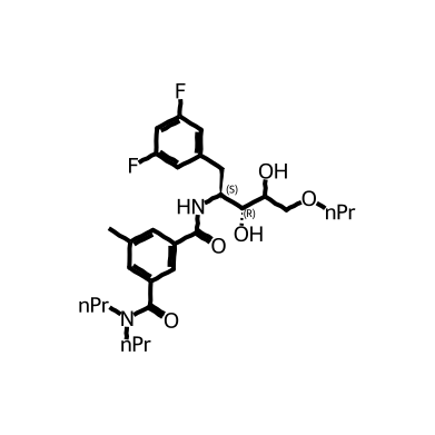 CCCOCC(O)[C@H](O)[C@H](Cc1cc(F)cc(F)c1)NC(=O)c1cc(C)cc(C(=O)N(CCC)CCC)c1